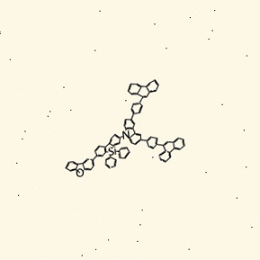 c1ccc([Si]2(c3ccccc3)c3cc(-c4ccc5oc6ccccc6c5c4)ccc3-c3ccc(-n4c5ccc(-c6ccc(-c7cc8ccccc8c8ccccc78)cc6)cc5c5cc(-c6ccc(-c7cc8ccccc8c8ccccc78)cc6)ccc54)cc32)cc1